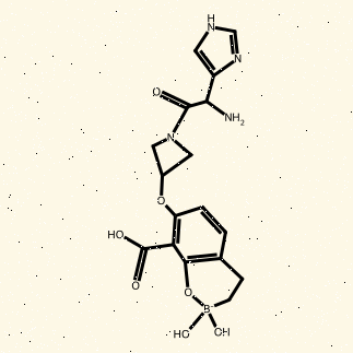 NC(C(=O)N1CC(Oc2ccc3c(c2C(=O)O)O[B-](O)(O)CC3)C1)c1c[nH]cn1